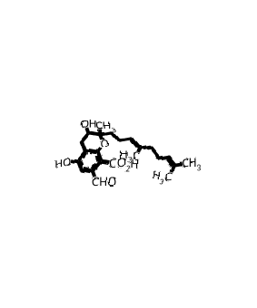 CC(C)=CCC/C(C)=C/CCC1(C)Oc2c(c(O)cc(C=O)c2C(=O)O)CC1O